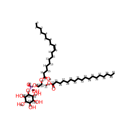 CCCCCCCC/C=C\CCCCCCCC(=O)O[C@H](COC(=O)CCCCCCCCCCCCCCCCC)COP(=O)(O)OC1C(O)C(O)C(O)[C@@H](O)C1O